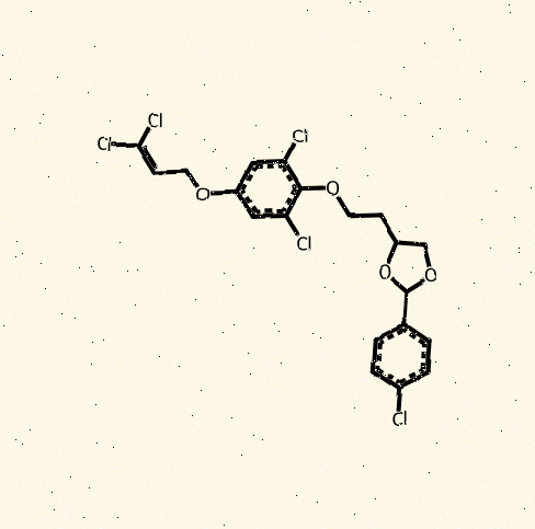 ClC(Cl)=CCOc1cc(Cl)c(OCCC2COC(c3ccc(Cl)cc3)O2)c(Cl)c1